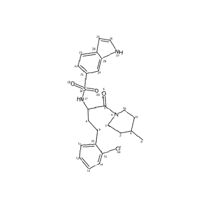 CC1CCN(C(=O)C(CCc2ccccc2Cl)NS(=O)(=O)c2ccc3cc[nH]c3c2)CC1